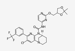 CC1(C)OCC(COc2nccc(NC(=O)N3c4nc(-c5cccc(C(F)(F)F)c5)c(Cl)cc4N4CCC[C@H]3C4)n2)O1